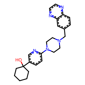 OC1(c2ccc(N3CCN(Cc4ccc5nccnc5c4)CC3)nc2)CCCCC1